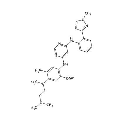 COc1cc(N(C)CCN(C)C)c(N)cc1Nc1cc(Nc2ccccc2-c2ccn(C)n2)ncn1